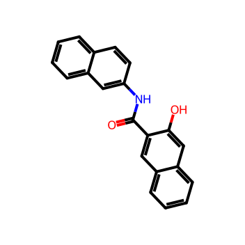 O=C(Nc1ccc2ccccc2c1)c1cc2ccccc2cc1O